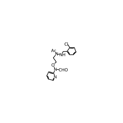 CC(=O)N(CCON(C=O)c1ccccn1)NCc1ccccc1Cl